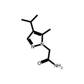 Cc1c(C(C)C)cnn1CC(N)=O